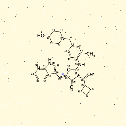 Cc1cc(CN2CCC(O)CC2)ccc1NC1=C(C(=O)C2CCC2)C(=O)/C(=C/c2c[nH]c3ncccc23)O1